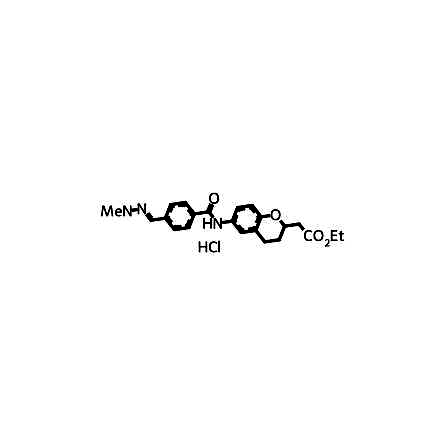 CCOC(=O)CC1CCc2cc(NC(=O)c3ccc(C=NNC)cc3)ccc2O1.Cl